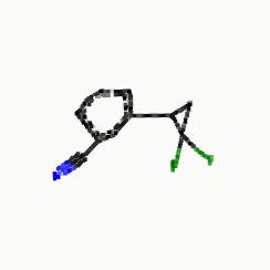 N#Cc1cccc(C2CC2(F)F)c1